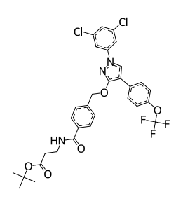 CC(C)(C)OC(=O)CCNC(=O)c1ccc(COc2nn(-c3cc(Cl)cc(Cl)c3)cc2-c2ccc(OC(F)(F)F)cc2)cc1